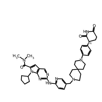 CN(C)C(=O)c1cc2cnc(Nc3ccc(CN4CCC5(CC4)CCN(c4ccc([C@@H]6CCC(=O)NC6=O)cc4)CC5)cn3)nc2n1C1CCCC1